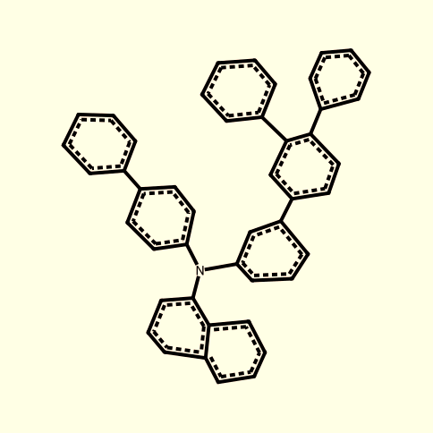 c1ccc(-c2ccc(N(c3cccc(-c4ccc(-c5ccccc5)c(-c5ccccc5)c4)c3)c3cccc4ccccc34)cc2)cc1